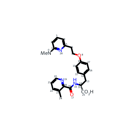 CNc1cccc(CCOc2ccc(C[C@H](NC(=O)c3ncccc3C)C(=O)O)cc2)n1